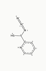 [N-]=[N+]=NC(S)c1ccccn1